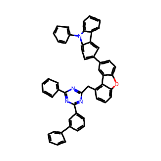 c1ccc(-c2cccc(-c3nc(Cc4cccc5oc6ccc(-c7ccc8c(c7)c7ccccc7n8-c7ccccc7)cc6c45)nc(-c4ccccc4)n3)c2)cc1